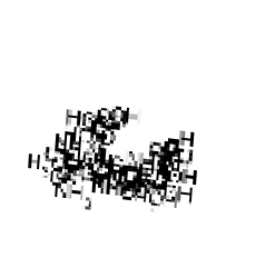 CC(=O)NC1[C@H](O[C@@H]2C(CO[C@@H]3OC(CO)C(O)[C@H](O)C3O)O[C@@H](OC3[C@@H](OC(N)=O)[C@](C)(O)C(C(N)=O)O[C@@H]3O)C(NC(C)=O)[C@H]2O)OC(C)C(O[C@@H]2OC(C(=O)NC3=C(O)CCC3=O)[C@H](O)[C@H](O)C2O)[C@@H]1O